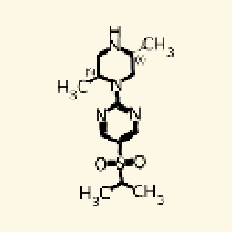 CC(C)S(=O)(=O)c1cnc(N2C[C@@H](C)NC[C@@H]2C)nc1